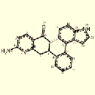 Nc1ncc2c(n1)CC(c1ccccc1-c1cccc3[nH]ccc13)CC2=O